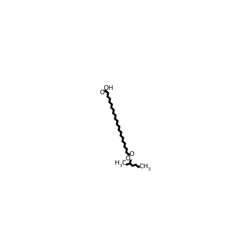 CCCCC(CC)COC(=O)CCCCCCCCCCCCCCCCCCCCCCC(=O)O